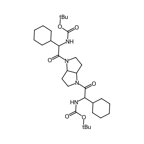 CC(C)(C)OC(=O)NC(C(=O)N1CCC2C1CCN2C(=O)C(NC(=O)OC(C)(C)C)C1CCCCC1)C1CCCCC1